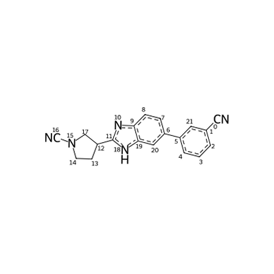 N#Cc1cccc(-c2ccc3nc(C4CCN(C#N)C4)[nH]c3c2)c1